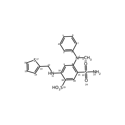 CN(c1ccccc1)c1cc(NCc2cccs2)c(S(=O)(=O)O)cc1S(N)(=O)=O